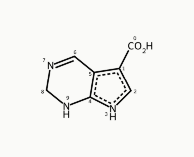 O=C(O)c1c[nH]c2c1C=NCN2